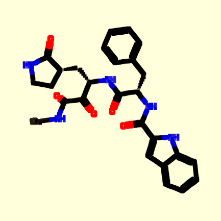 CC(C)(C)NC(=O)C(=O)[C@H](C[C@@H]1CCNC1=O)NC(=O)[C@H](Cc1ccccc1)NC(=O)c1cc2ccccc2[nH]1